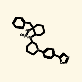 O=C(O)NC1(Cc2ccccc2)CCCCC1NC1CCCN(c2ccc(-c3cnco3)cc2)C1